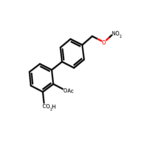 CC(=O)Oc1c(C(=O)O)cccc1-c1ccc(CO[N+](=O)[O-])cc1